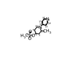 CC1CC(OS(C)(=O)=O)CCN1c1ccncc1